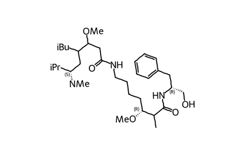 CCC(C)C(C[C@H](NC)C(C)C)C(CC(=O)NCCCC[C@@H](OC)C(C)C(=O)N[C@@H](CO)Cc1ccccc1)OC